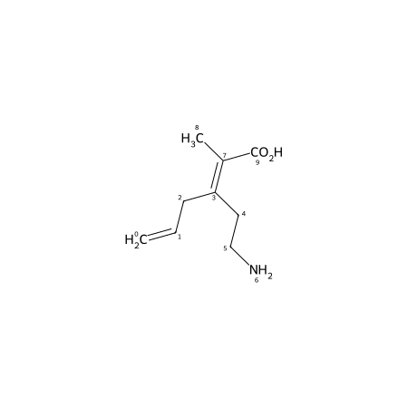 C=CCC(CCN)=C(C)C(=O)O